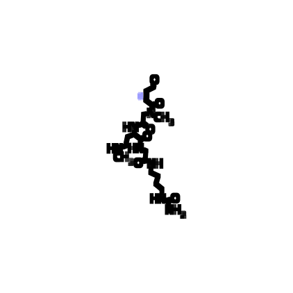 CNCCC(NC(=O)CN(C)C(=O)/C=C\C=O)C(=O)NCC(=O)NCCCCNC(N)=O